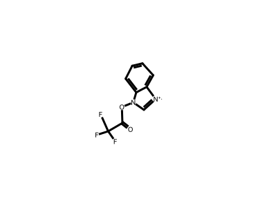 O=C(ON1C=[N+]c2ccccc21)C(F)(F)F